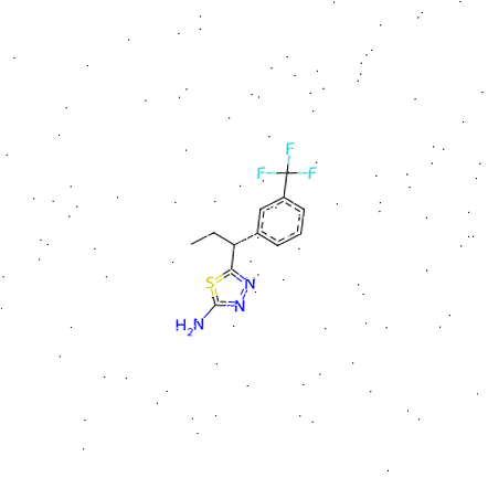 CCC(c1cccc(C(F)(F)F)c1)c1nnc(N)s1